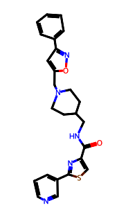 O=C(NCC1CCN(Cc2cc(-c3ccccc3)no2)CC1)c1csc(-c2cccnc2)n1